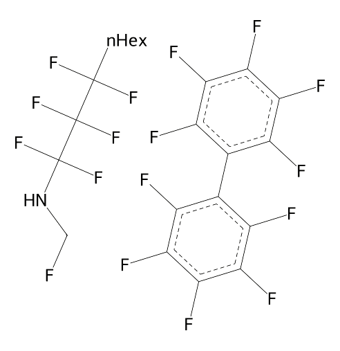 CCCCCCC(F)(F)C(F)(F)C(F)(F)NCF.Fc1c(F)c(F)c(-c2c(F)c(F)c(F)c(F)c2F)c(F)c1F